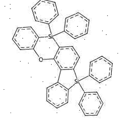 c1ccc([Si]2(c3ccccc3)c3ccccc3Oc3c2ccc2c3-c3ccccc3[Si]2(c2ccccc2)c2ccccc2)cc1